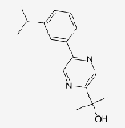 CC(C)c1cccc(-c2cnc(C(C)(C)O)cn2)c1